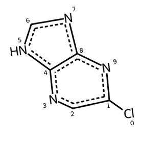 Clc1cnc2[nH]cnc2n1